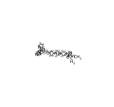 CC[C@@H](C)n1ncn(-c2ccc(N3CCN(c4ccc(OCC5COC(Cn6cncn6)(c6ccccn6)O5)cc4)CC3)cc2)c1=O